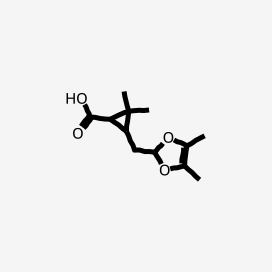 CC1=C(C)OC(CC2C(C(=O)O)C2(C)C)O1